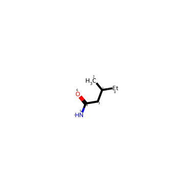 CCC(C)CC([NH])=O